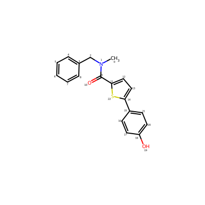 CN(Cc1ccccc1)C(=O)c1ccc(-c2ccc(O)cc2)s1